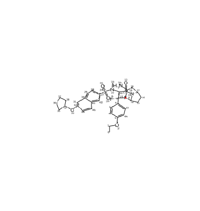 CCOc1ccc(C(F)(F)C(C(=O)N2C3CCC2CC(N)C3)N(C)S(=O)(=O)c2ccc3cc(OC4CCCC4)ccc3c2)cc1